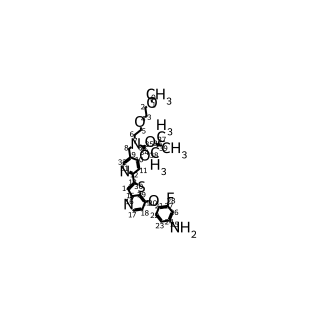 COCCOCCN(Cc1ccc(-c2cc3nccc(Oc4ccc(N)cc4F)c3s2)nc1)C(=O)OC(C)(C)C